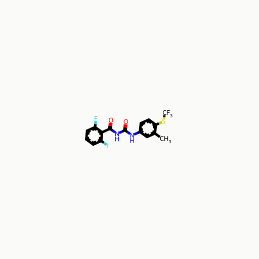 Cc1cc(NC(=O)NC(=O)c2c(F)cccc2F)ccc1SC(F)(F)F